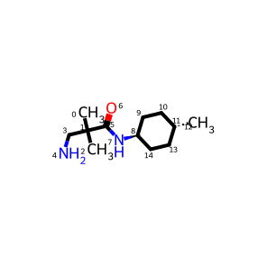 CC(C)(CN)C(=O)N[C@H]1CC[C@H](C)CC1